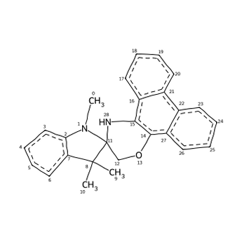 CN1c2ccccc2C(C)(C)C12COc1c(c3ccccc3c3ccccc13)N2